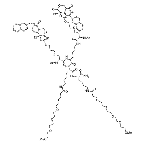 CC[C@]1(OC(=O)OCCSSC[C@@H](NC(C)=O)C(=O)N[C@@H](CCCCNC(=O)[C@@H](CSSCCOC(=O)O[C@]2(CC)C(=O)OCc3c2cc2n(c3=O)Cc3cc4ccccc4nc3-2)NC(C)=O)C(=O)N[C@@H](CCCCNC(=O)CCOCCOCCOCCOCCOC)C(=O)N[C@@H](CCCCNC(=O)CCOCCOCCOCCOCCOC)C(N)=O)C(=O)OCc2c1cc1n(c2=O)Cc2cc3ccccc3nc2-1